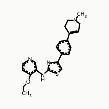 CCOc1ccncc1Nc1nc(-c2ccc(C3=CCN(C)CC3)cc2)cs1